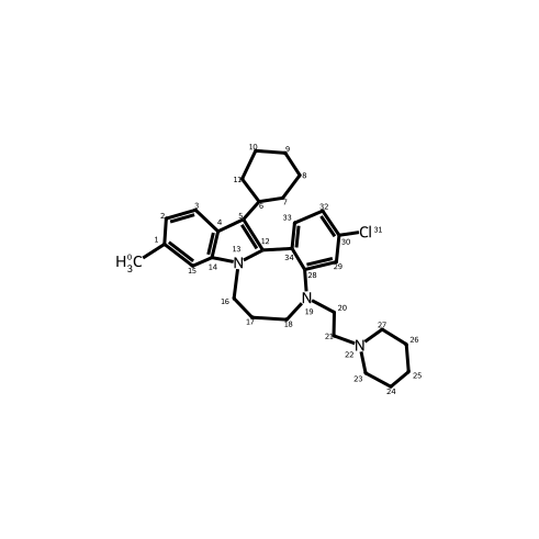 Cc1ccc2c(C3CCCCC3)c3n(c2c1)CCCN(CCN1CCCCC1)c1cc(Cl)ccc1-3